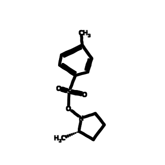 Cc1ccc(S(=O)(=O)ON2CCC[C@@H]2C)cc1